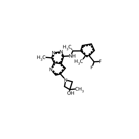 Cc1c(C(F)F)cccc1[C@@H](C)Nc1nnc(C)c2ncc(N3CC(C)(O)C3)cc12